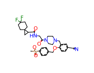 CS(=O)(=O)c1ccc(COc2ccc(C#N)cc2CN2CCN(C(=O)CNC(=O)C3CC34CCC(F)(F)CC4)CC2)cc1